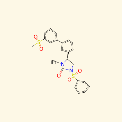 CC(C)N1C(=O)N(S(=O)(=O)c2ccccc2)C[C@@H]1c1cccc(-c2cccc(S(C)(=O)=O)c2)c1